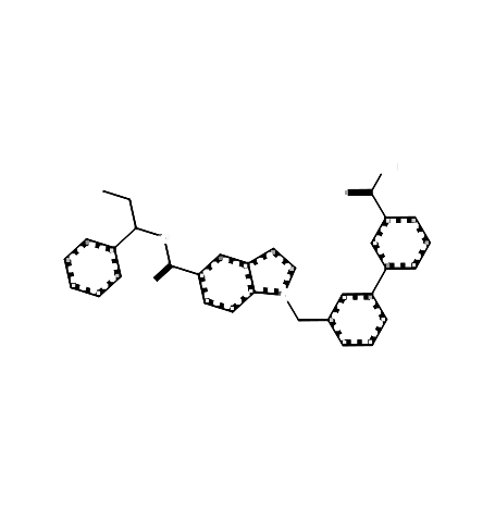 CCC(NC(=O)c1ccc2c(ccn2Cc2cccc(-c3cccc(C(=O)O)c3)c2)c1)c1ccccc1